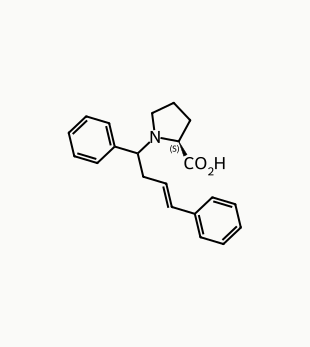 O=C(O)[C@@H]1CCCN1C(CC=Cc1ccccc1)c1ccccc1